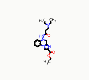 CCOC(=O)c1cn2c(n1)CN(NC(=O)CCN(CC)CC)c1ccccc1-2